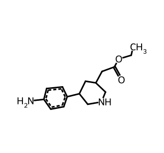 CCOC(=O)CC1CNCC(c2ccc(N)cc2)C1